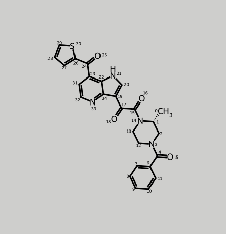 C[C@@H]1CN(C(=O)c2ccccc2)CCN1C(=O)C(=O)c1c[nH]c2c(C(=O)c3cccs3)ccnc12